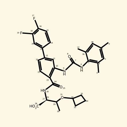 Cc1cc(C)c(NC(=O)Nc2cc(-c3ccc(F)c(F)c3)ccc2C(=O)N[C@H](C(=O)O)C(C)OC2CCC2)c(C)c1